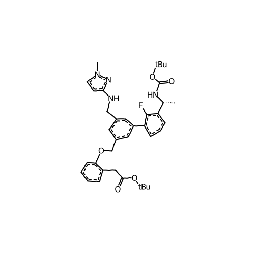 C[C@@H](NC(=O)OC(C)(C)C)c1cccc(-c2cc(CNc3ccn(C)n3)cc(COc3ccccc3CC(=O)OC(C)(C)C)c2)c1F